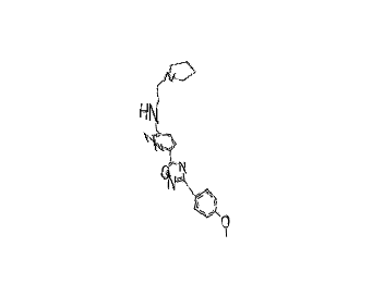 COc1ccc(-c2noc(-c3ccc(NCCN4CCCC4)nn3)n2)cc1